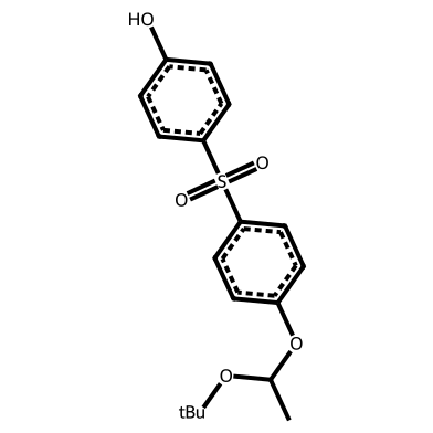 CC(Oc1ccc(S(=O)(=O)c2ccc(O)cc2)cc1)OC(C)(C)C